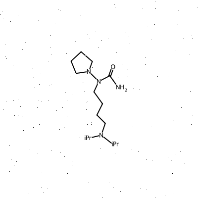 CC(C)N(CCCCN(C(N)=O)N1CCCC1)C(C)C